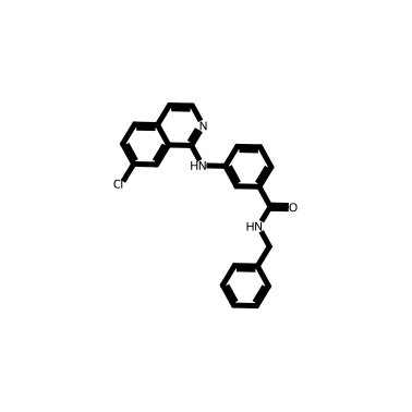 O=C(NCc1ccccc1)c1cccc(Nc2nccc3ccc(Cl)cc23)c1